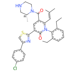 CCc1cccc(CC)c1-n1c(C=C(C)C)c(C(=O)N2CCNC[C@H]2C)cc(-c2nc(-c3ccc(Cl)cc3)cs2)c1=O